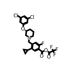 O=C(OC(=O)C(F)(F)F)c1cc(C2CC2)c(CN2CCC[C@H](Oc3cc(Cl)cc(Cl)c3)C2)cc1F